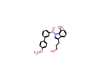 Cc1cccc2c(CCCO)cn([S+]([O-])c3cccc(-c4ccc(OC(F)(F)F)cc4)c3)c12